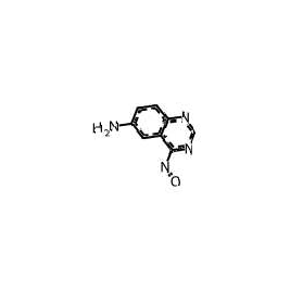 Nc1ccc2ncnc(N=O)c2c1